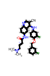 CN(C)C/C=C/C(=O)Nc1ccc2ncc(C#N)c(Nc3ccc(OCc4cccc(F)c4)c(F)c3)c2c1